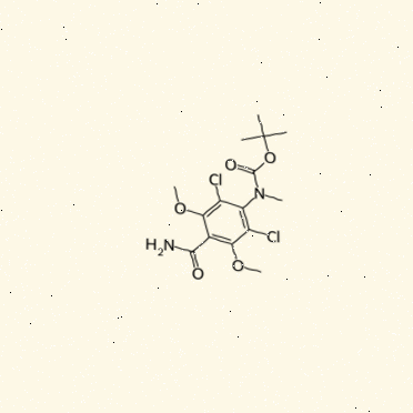 COc1c(Cl)c(N(C)C(=O)OC(C)(C)C)c(Cl)c(OC)c1C(N)=O